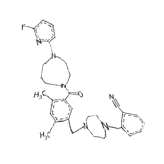 Cc1cc(C)c(C(=O)N2CCCN(c3cccc(F)n3)CC2)cc1CN1CCN(c2ccccc2C#N)CC1